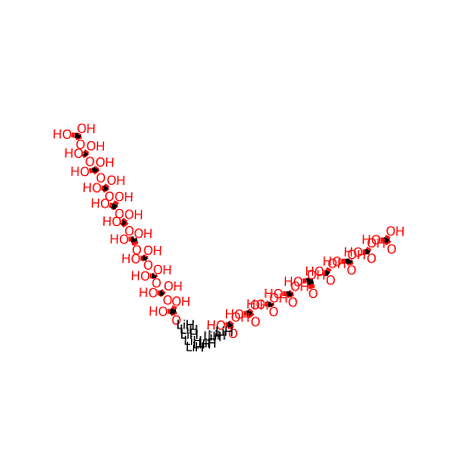 O=C(O)O.O=C(O)O.O=C(O)O.O=C(O)O.O=C(O)O.O=C(O)O.O=C(O)O.O=C(O)O.O=C(O)O.O=C(O)O.O=C(O)O.O=C(O)O.O=C(O)O.O=C(O)O.O=C(O)O.O=C(O)O.O=C(O)O.O=C(O)O.O=C(O)O.O=C(O)O.[LiH].[LiH].[LiH].[LiH].[LiH].[LiH].[LiH].[LiH].[LiH].[LiH]